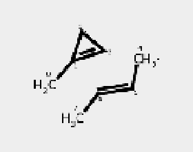 CC1=C[CH]1.[CH2]C=CC